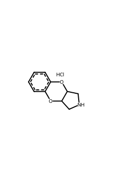 Cl.c1ccc2c(c1)OC1CNCC1O2